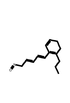 CCCC1=C(/C=C/C=C/CN=O)C=CCC1